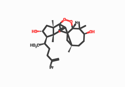 C=C(CC[C@@H](C(=O)O)[C@H]1[C@H](O)C[C@@]2(C)[C@]34CC5C[C@](C)(CC[C@H](O)C(C)(C)[C@H]5OO3)C4=CC[C@]12C)C(C)C